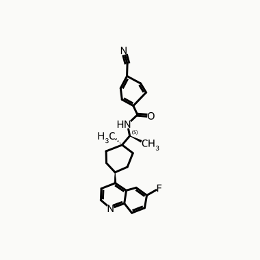 C[C@H](NC(=O)c1ccc(C#N)cc1)[C@]1(C)CC[C@H](c2ccnc3ccc(F)cc32)CC1